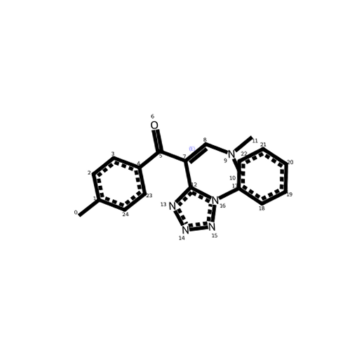 Cc1ccc(C(=O)/C(=C/N(C)C)c2nnnn2-c2ccccc2)cc1